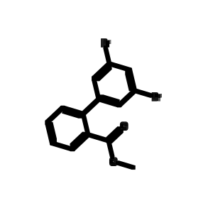 COC(=O)c1ccccc1-c1cc(Br)cc(Br)c1